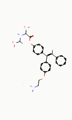 CCC(=C(c1ccc(OCCN(C)C)cc1)c1ccc(OC(=O)C(B(O)O)N(C)C(B(O)O)C(=O)O)cc1)c1ccccc1